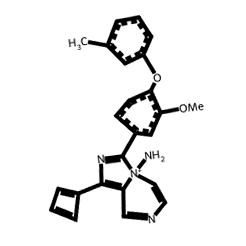 COc1cc(C2=NC(C3=CC=C3)=C3C=NC=C[N+]23N)ccc1Oc1cccc(C)c1